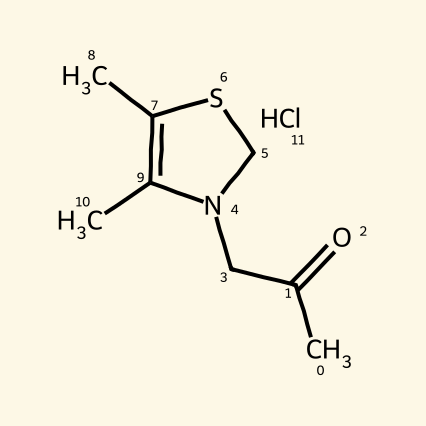 CC(=O)CN1CSC(C)=C1C.Cl